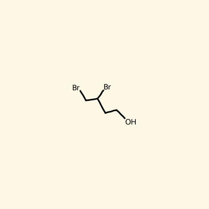 OCCC(Br)CBr